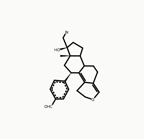 C[C@]12C[C@H](c3ccc(C=O)cc3)C3=C4CCOC=C4CCC3C1CC[C@@]2(O)CBr